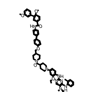 CCOc1cc(N2CCC(C(=O)N3CCC(COc4ccc(-c5ccc(NC(=O)c6ccc(OC)c(-c7cccc(OC)c7)c6)cc5)cc4)CC3)CC2)ccc1Nc1ncc(N(C)C=O)c(Nc2ccccc2C)n1